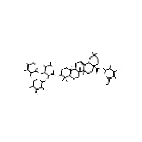 CC1(C)CCC2(C(=O)OC3OC(CO)C(O)C(O)C3O)CCC3(C)C(=CCC4C5(C)CCC(OC6OC(C(=O)O)C(O)C(OC7OCC(O)C(O)C7O)C6OC6OCC(O)C(O)C6O)C(C)(C)C5CCC43C)C2C1